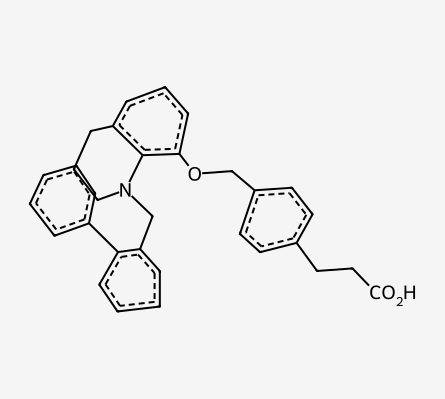 O=C(O)CCc1ccc(COc2cccc3c2N(Cc2ccccc2-c2ccccc2)CCC3)cc1